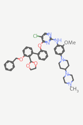 COc1cc(N2CCC(N3CCN(C)CC3)CC2)ccc1Nc1ncc(Cl)c(Oc2ccccc2-c2cccc(OCc3ccccc3)c2C2OCCO2)n1